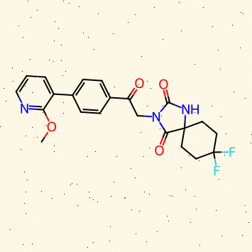 COc1ncccc1-c1ccc(C(=O)CN2C(=O)NC3(CCC(F)(F)CC3)C2=O)cc1